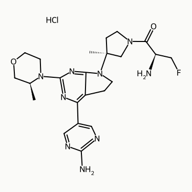 C[C@H]1COCCN1c1nc(-c2cnc(N)nc2)c2c(n1)N([C@@]1(C)CCN(C(=O)[C@H](N)CF)C1)CC2.Cl